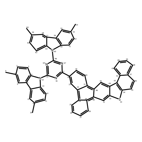 Cc1ccc2c(c1)c1cc(C)ccc1n2-c1nc(-c2ccc3c(c2)c2ccccc2c2cc4sc5ccc6ccccc6c5c4cc32)nc(-n2c3ccc(C)cc3c3cc(C)ccc32)n1